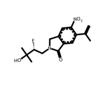 C=C(C)c1cc2c(cc1[N+](=O)[O-])CN(C[C@@H](F)C(C)(C)O)C2=O